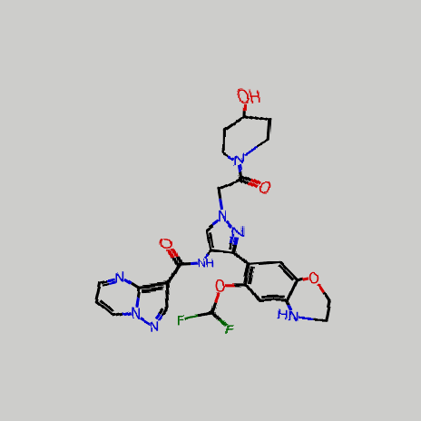 O=C(Nc1cn(CC(=O)N2CCC(O)CC2)nc1-c1cc2c(cc1OC(F)F)NCCO2)c1cnn2cccnc12